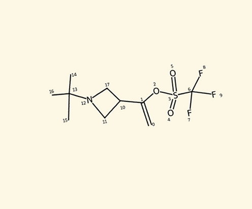 C=C(OS(=O)(=O)C(F)(F)F)C1CN(C(C)(C)C)C1